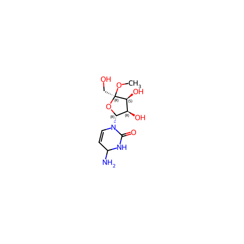 CO[C@]1(CO)O[C@@H](N2C=CC(N)NC2=O)[C@H](O)[C@@H]1O